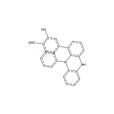 O=Cc1ccc(-c2cccc3c2N(c2ccccc2)c2ccccc2N3)cc1O